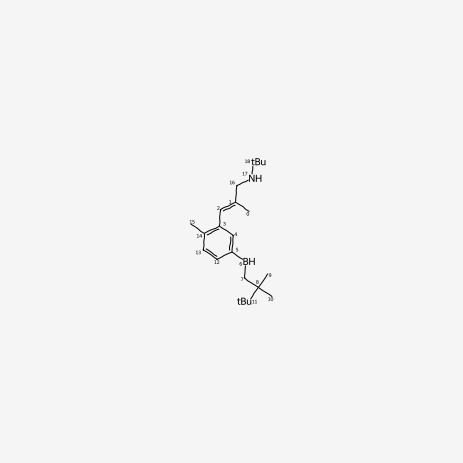 C/C(=C\c1cc(BCC(C)(C)C(C)(C)C)ccc1C)CNC(C)(C)C